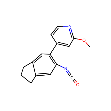 COc1cc(-c2cc3c(cc2N=C=O)CCC3)ccn1